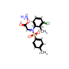 Cc1ccc(S(=O)(=O)N(CC(=O)ON)c2cccc(Cl)c2C)cc1